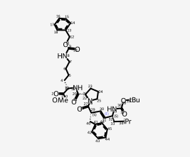 COC(=O)[C@H](CCCCNC(=O)OCc1ccccc1)NC(=O)[C@@H]1CCCN1C(=O)[C@H](/C=C/[C@H](CC(C)C)NC(=O)OC(C)(C)C)Cc1ccccc1